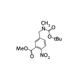 COC(=O)c1cc(CN(C)C(=O)OC(C)(C)C)ccc1[N+](=O)[O-]